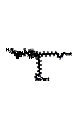 CCCCC/C=C\C/C=C\CCCCCCCCC1(CCCCCCCC/C=C\C/C=C\CCCCC)CC2(C1)O[C@H]1CC(N(C)CCOP(=O)(O)OCCN)C[C@H]1O2